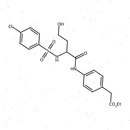 CCOC(=O)Cc1ccc(NC(=O)C(CCO)NS(=O)(=O)c2ccc(Cl)cc2)cc1